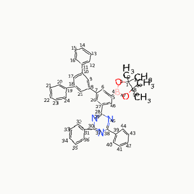 CC1(C)OB(c2cc(-c3cc(-c4ccccc4)cc(-c4ccccc4)c3)cc(-c3nc(-c4ccccc4)nc(-c4ccccc4)n3)c2)OC1(C)C